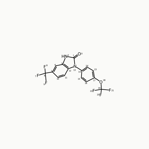 O=c1[nH]c2cc(C(F)(F)F)ccc2n1-c1ccc(OC(F)(F)F)cc1